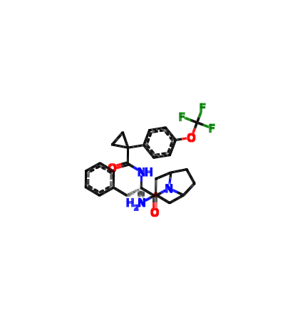 NC1CC2CCC(C1)N2C(=O)[C@H](Cc1ccccc1)NC(=O)C1(c2ccc(OC(F)(F)F)cc2)CC1